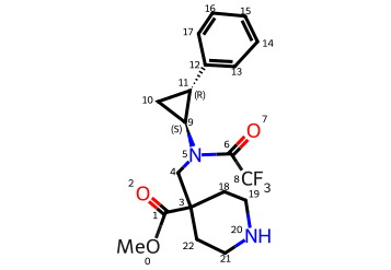 COC(=O)C1(CN(C(=O)C(F)(F)F)[C@H]2C[C@@H]2c2ccccc2)CCNCC1